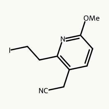 COc1ccc(CC#N)c(CCI)n1